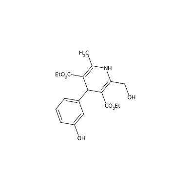 CCOC(=O)C1=C(C)NC(CO)=C(C(=O)OCC)C1c1cccc(O)c1